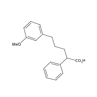 COc1cccc(CCCC(C(=O)O)c2ccccc2)c1